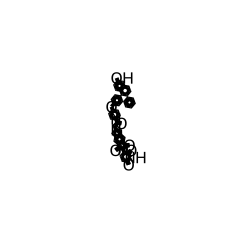 O=C1CCC(N2C(=O)c3cc4c(cc3C2=O)CN(CC(=O)N2CCC(Oc3ccc([C@@H]5c6ccc(O)cc6CC[C@@H]5c5ccccc5)cc3)CC2)C4)C(=O)N1